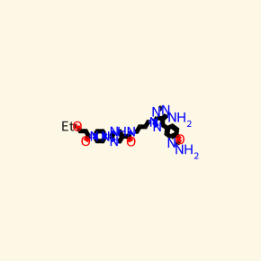 CCOCCC(=O)N1CCN(c2ncc(C(=O)NCCCCn3nc(-c4ccc5oc(N)nc5c4)c4c(N)ncnc43)cn2)CC1